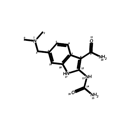 CN(C)Cc1ccc2c(C(N)=O)c(NC(N)=O)[nH]c2c1